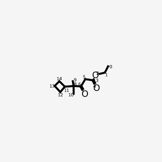 CCOC(=O)CC(=O)C(C)(C)C1CCC1